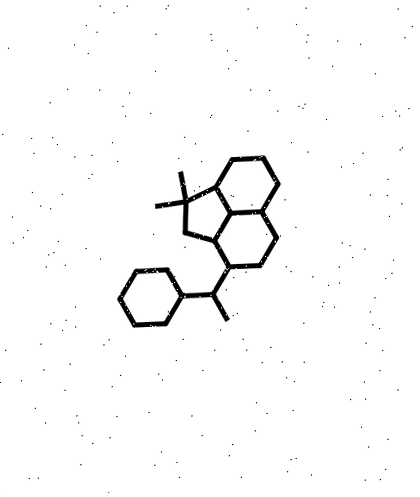 CC(C1CCCCC1)C1CCC2CCCC3C2C1CC3(C)C